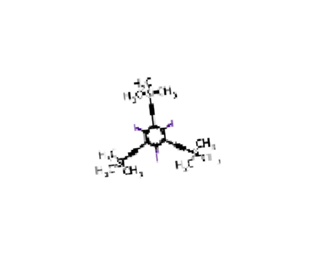 C[Si](C)(C)C#Cc1c(I)c(C#C[Si](C)(C)C)c(I)c(C#C[Si](C)(C)C)c1I